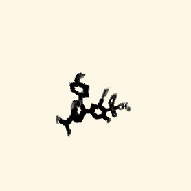 CS(=O)(=O)c1c(F)cc(-c2cc(C(F)F)nn2-c2ccc(Br)cc2)cc1F